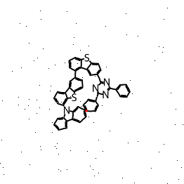 c1ccc(-c2nc(-c3ccccc3)nc(-c3ccc4sc5cccc(-c6ccc7sc8c(-n9c%10ccccc%10c%10ccccc%109)cccc8c7c6)c5c4c3)n2)cc1